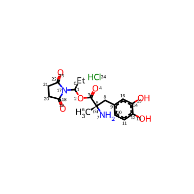 CCC(OC(=O)[C@@](C)(N)Cc1ccc(O)c(O)c1)N1C(=O)CCC1=O.Cl